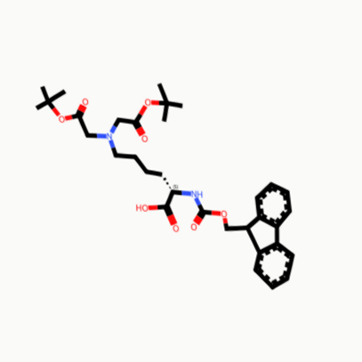 CC(C)(C)OC(=O)CN(CCCC[C@H](NC(=O)OCC1c2ccccc2-c2ccccc21)C(=O)O)CC(=O)OC(C)(C)C